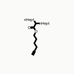 C#CCCCCOC(=O)C(CCCCCCC)CCCCCCC